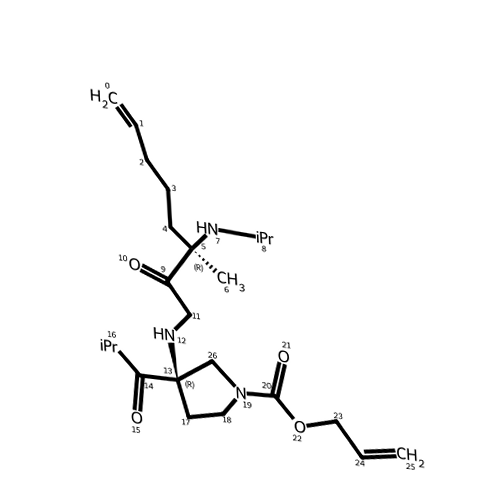 C=CCCC[C@@](C)(NC(C)C)C(=O)CN[C@]1(C(=O)C(C)C)CCN(C(=O)OCC=C)C1